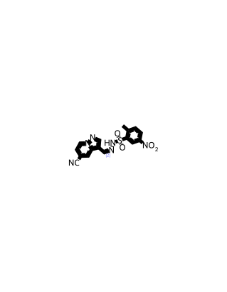 Cc1ccc([N+](=O)[O-])cc1S(=O)(=O)N/N=C\c1cnn2ccc(C#N)cc12